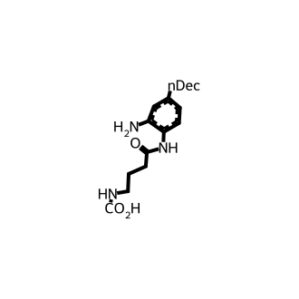 CCCCCCCCCCc1ccc(NC(=O)CCCNC(=O)O)c(N)c1